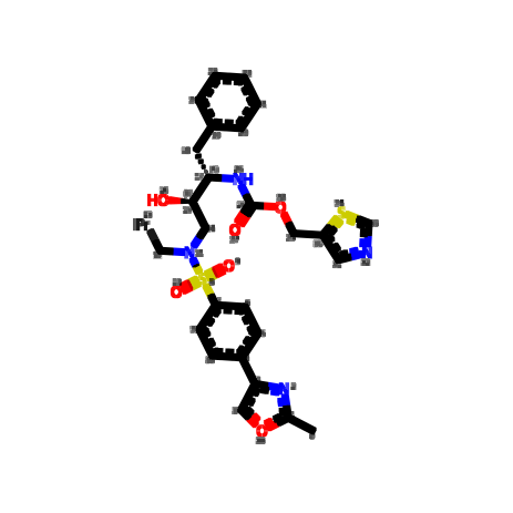 Cc1nc(-c2ccc(S(=O)(=O)N(CC(C)C)C[C@@H](O)[C@H](Cc3ccccc3)NC(=O)OCc3cncs3)cc2)co1